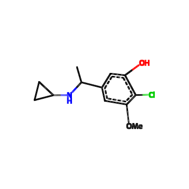 COc1cc(C(C)NC2CC2)cc(O)c1Cl